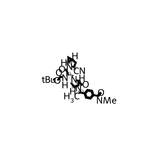 CNC(=O)c1ccc([C@H](C)N2C(=O)[C@@H]3C[C@H]2CN3C[C@H](NC(=O)OC(C)(C)C)C(=O)N2[C@H](C#N)C[C@@H]3C[C@@H]32)cc1